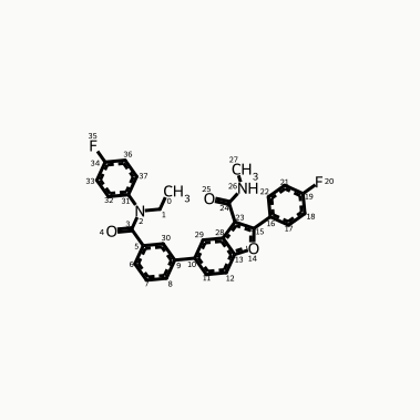 CCN(C(=O)c1cccc(-c2ccc3oc(-c4ccc(F)cc4)c(C(=O)NC)c3c2)c1)c1ccc(F)cc1